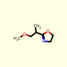 COCC(C)C1=NCCO1